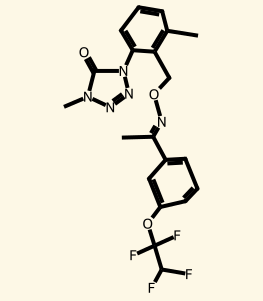 CC(=NOCc1c(C)cccc1-n1nnn(C)c1=O)c1cccc(OC(F)(F)C(F)F)c1